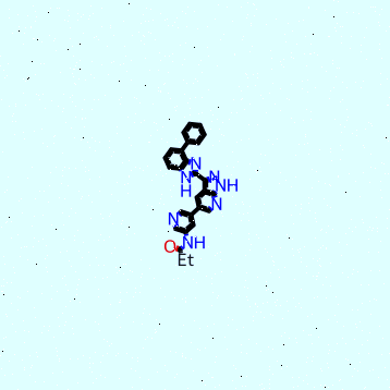 CCC(=O)Nc1cncc(-c2cnc3[nH]nc(-c4nc5c(-c6ccccc6)cccc5[nH]4)c3c2)c1